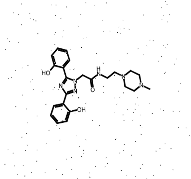 CN1CCN(CCNC(=O)Cn2nc(-c3ccccc3O)nc2-c2ccccc2O)CC1